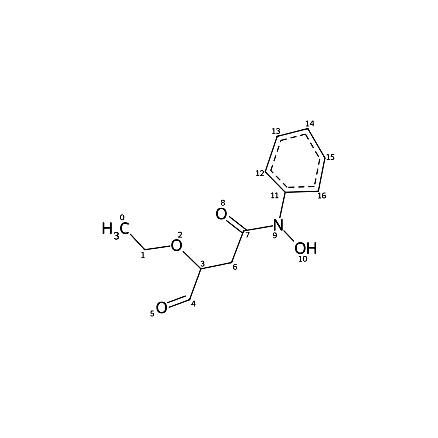 CCOC(C=O)CC(=O)N(O)c1ccccc1